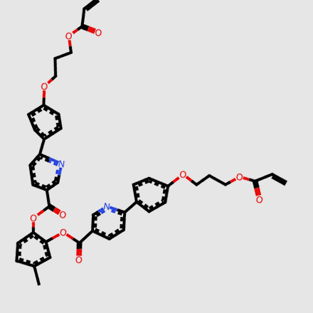 C=CC(=O)OCCCOc1ccc(-c2ccc(C(=O)Oc3ccc(C)cc3OC(=O)c3ccc(-c4ccc(OCCCOC(=O)C=C)cc4)nc3)cn2)cc1